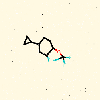 FC1CC(C2CC2)CCC1OC(F)(F)F